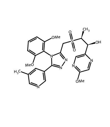 COc1cnc([C@H](O)[C@H](C)S(=O)(=O)Cc2nnc(-c3cncc(C)c3)n2-c2c(OC)cccc2OC)cn1